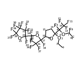 CCOC1(C(F)(OC(F)F)C(F)(F)F)CCC(C(F)(OC(F)(F)C2(F)OC(F)(F)C(F)(F)C2(F)F)C(F)(F)F)O1